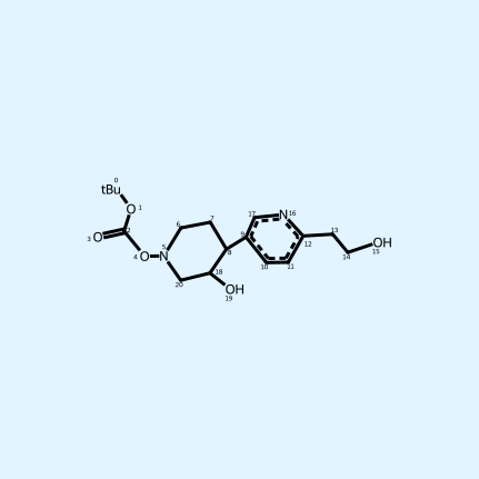 CC(C)(C)OC(=O)ON1CCC(c2ccc(CCO)nc2)C(O)C1